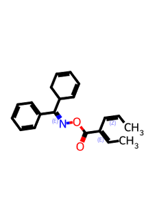 C/C=C\C(=C/C)C(=O)O/N=C(/c1ccccc1)C1C=CC=CC1